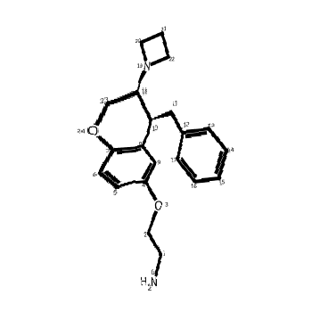 NCCOc1ccc2c(c1)[C@H](Cc1ccccc1)[C@H](N1CCC1)CO2